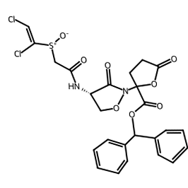 O=C(C[S+]([O-])/C(Cl)=C/Cl)N[C@H]1CON(C2(C(=O)OC(c3ccccc3)c3ccccc3)CCC(=O)O2)C1=O